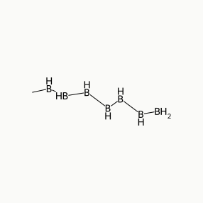 BBBBBBBC